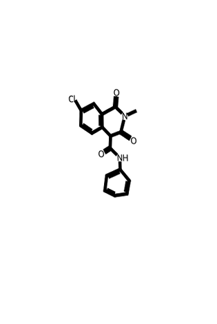 CN1C(=O)c2cc(Cl)ccc2C(C(=O)Nc2ccccc2)C1=O